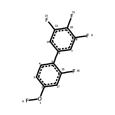 FOc1ccc(-c2cc(F)c(F)c(F)c2)c(F)c1